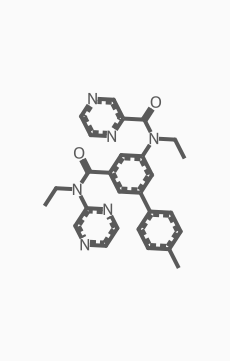 CCN(C(=O)c1cnccn1)c1cc(C(=O)N(CC)c2cnccn2)cc(-c2ccc(C)cc2)c1